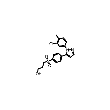 Cc1ccc(-n2nccc2-c2ccc(S(=O)(=O)CCCO)cc2)cc1Cl